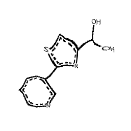 OC(O)c1csc(-c2cccnc2)n1